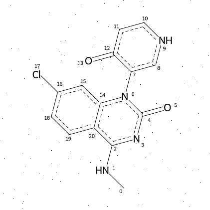 CNc1nc(=O)n(-c2c[nH]ccc2=O)c2cc(Cl)ccc12